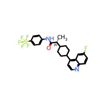 C[C@@H](C(=O)Nc1ccc(S(F)(F)(F)(F)F)cc1)C1CCC(c2ccnc3ccc(F)cc23)CC1